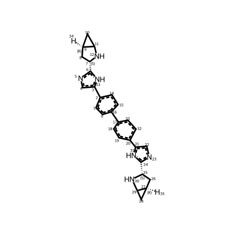 c1cc(-c2cnc([C@@H]3C[C@H]4CC4N3)[nH]2)ccc1-c1ccc(-c2cnc([C@@H]3C[C@H]4CC4N3)[nH]2)cc1